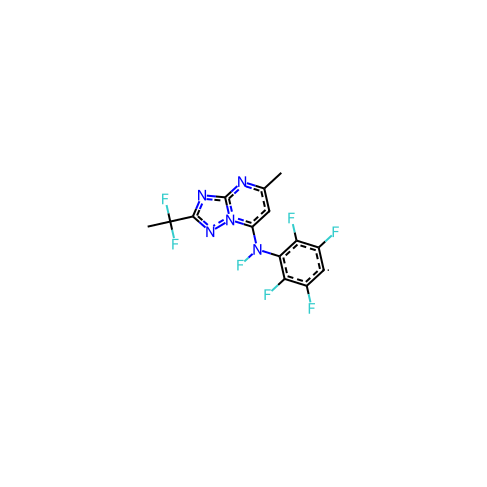 Cc1cc(N(F)c2c(F)c(F)[c]c(F)c2F)n2nc(C(C)(F)F)nc2n1